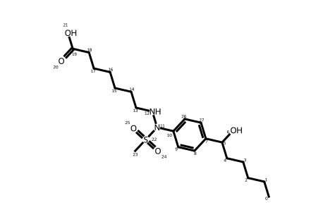 CCCCCC(O)c1ccc(N(NCCCCCCC(=O)O)S(C)(=O)=O)cc1